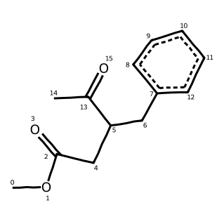 COC(=O)CC(Cc1ccccc1)C(C)=O